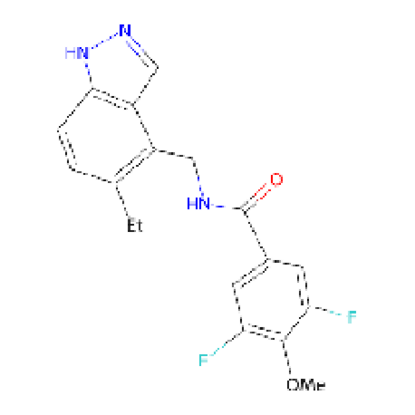 CCc1ccc2[nH]ncc2c1CNC(=O)c1cc(F)c(OC)c(F)c1